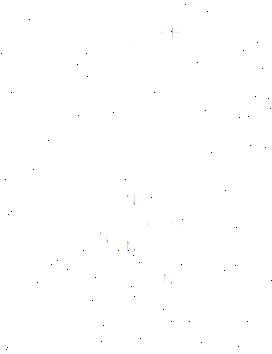 COc1ccc(-c2ccc3nn(-c4ccccn4)c(=O)n3c2)cc1